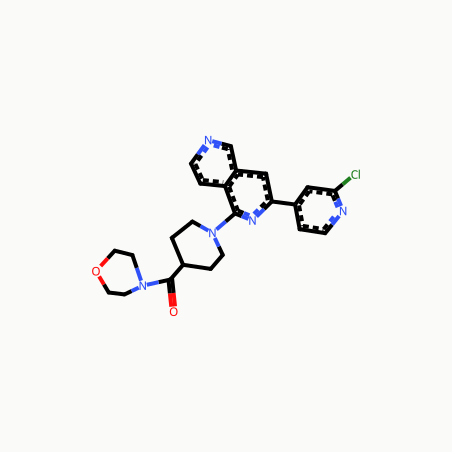 O=C(C1CCN(c2nc(-c3ccnc(Cl)c3)cc3cnccc23)CC1)N1CCOCC1